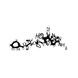 CN(C)[C@@H](COC(=O)OC[C@H]1O[C@@](C#N)(c2ccc3c(N)ncnn23)[C@H](O)[C@@H]1O)C(=O)OCC1CCCCCC1